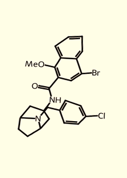 COc1c(C(=O)NC2CC3CCC(C2)N3Cc2ccc(Cl)cc2)cc(Br)c2ccccc12